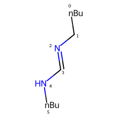 CCCCCN=CNCCCC